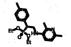 CCOP(=O)(OCC)C(CNc1ccc(C)nc1C)c1ccc(C)cc1